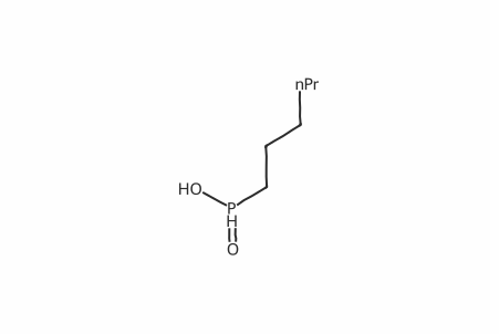 CCCCCC[PH](=O)O